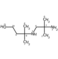 CC(C)(N)CNC(C)(C)CCO